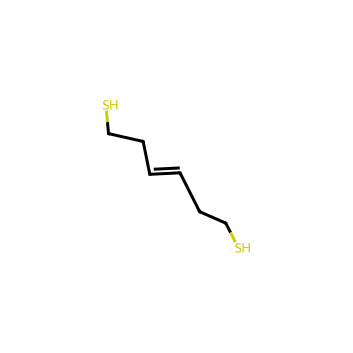 SCCC=CCCS